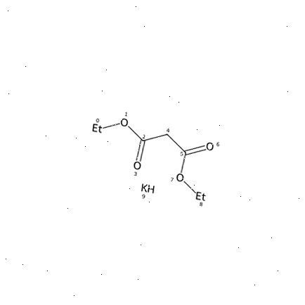 CCOC(=O)CC(=O)OCC.[KH]